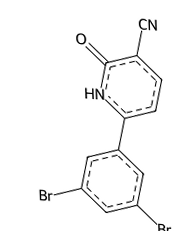 N#Cc1ccc(-c2cc(Br)cc(Br)c2)[nH]c1=O